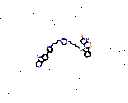 Cn1c2ccncc2c2ccc(-c3ccc(CCCN4CCN(CCCCCOC5c6ccccc6C(=O)N5C5CCC(=O)NC5=O)CC4)nc3)cc21